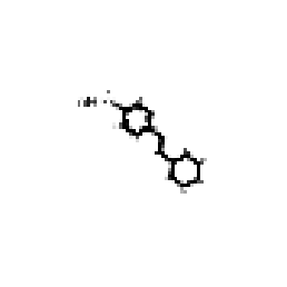 CCCCCCc1ccc(CCC2CCCCC2)cc1